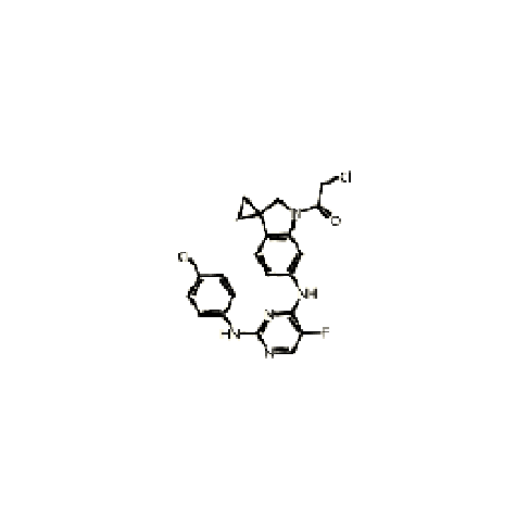 O=C(CCl)N1CC2(CC2)c2ccc(Nc3nc(Nc4ccc(Cl)cc4)ncc3F)cc21